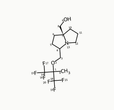 CC(OCC1CC[C@]2(CO)CCCN12)(C(F)(F)F)C(F)(F)F